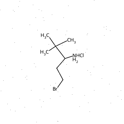 CC(C)(C)C(N)CCBr.Cl